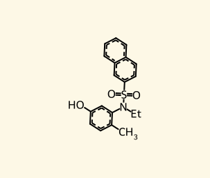 CCN(c1cc(O)ccc1C)S(=O)(=O)c1ccc2ccccc2c1